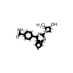 C[C@H]1[C@H](O)CN1c1nc(-c2ccc(C(N)=O)cc2)c2c(n1)C1CC2C1